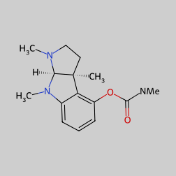 CNC(=O)Oc1cccc2c1[C@]1(C)CCN(C)[C@@H]1N2C